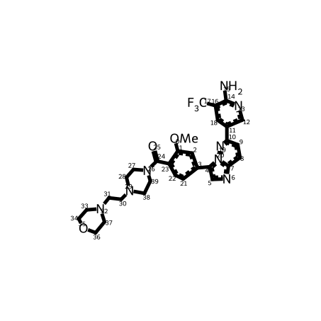 COc1cc(-c2cnc3ccc(-c4cnc(N)c(C(F)(F)F)c4)nn23)ccc1C(=O)N1CCN(CCN2CCOCC2)CC1